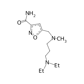 CCN(CC)CCCN(C)Cc1cc(C(N)=O)no1